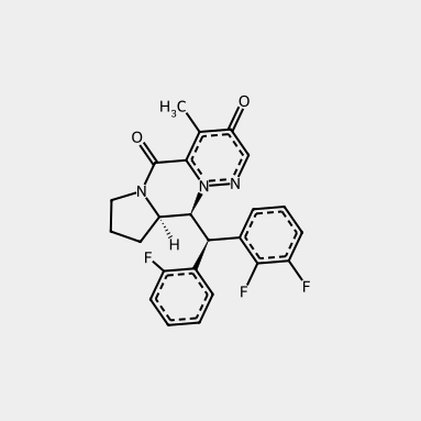 Cc1c2n(ncc1=O)[C@@H]([C@H](c1ccccc1F)c1cccc(F)c1F)[C@H]1CCCN1C2=O